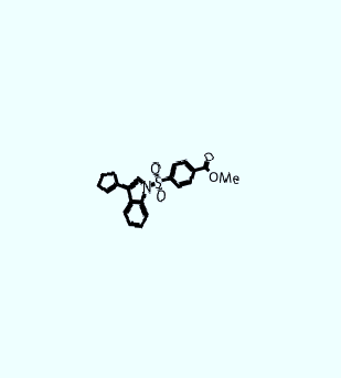 COC(=O)c1ccc(S(=O)(=O)n2cc(C3=CCCC3)c3ccccc32)cc1